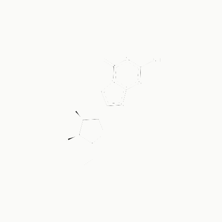 Nc1nc2nc([C@@H]3O[C@H](CO)[C@@H](O)[C@H]3F)cn2c(=O)[nH]1